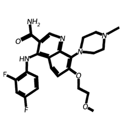 COCCOc1ccc2c(Nc3ccc(F)cc3F)c(C(N)=O)cnc2c1N1CCN(C)CC1